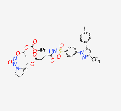 Cc1ccc(-c2cc(C(F)(F)F)nn2-c2ccc(S(=O)(=O)NC(=O)CCC(=O)OC[C@@H]3CCCN3n3on3OC(C)OC(=O)OC(C)C)cc2)cc1